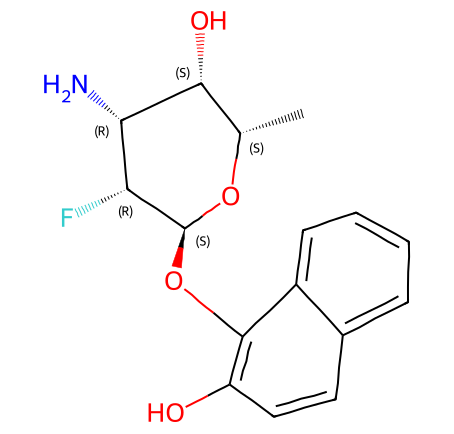 C[C@@H]1O[C@@H](Oc2c(O)ccc3ccccc23)[C@H](F)[C@H](N)[C@@H]1O